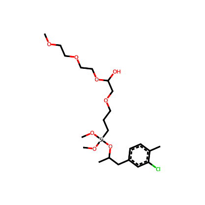 COCCOCCOC(O)COCCC[Si](OC)(OC)OC(C)Cc1ccc(C)c(Cl)c1